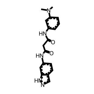 CN(C)c1cccc(NC(=O)CC(=O)Nc2ccc3cn[nH]c3c2)c1